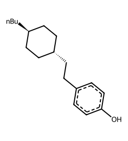 CCCC[C@H]1CC[C@H](CCc2ccc(O)cc2)CC1